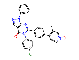 Cc1c[n+]([O-])ccc1-c1ccc(-c2nc3c(cnn3-c3ccccc3)c(=O)n2-c2ccc(Cl)cc2)cc1